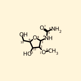 COC1C(NC(N)=O)OC(CO)C1O